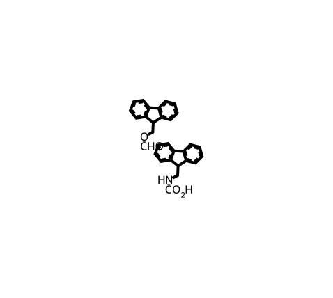 O=C(O)NCC1c2ccccc2-c2ccccc21.O=COCC1c2ccccc2-c2ccccc21